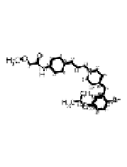 COCC(=O)NC1CCC(CCCN2CCC(Cc3cc(OC(C)C)ccc3Br)CC2)CC1